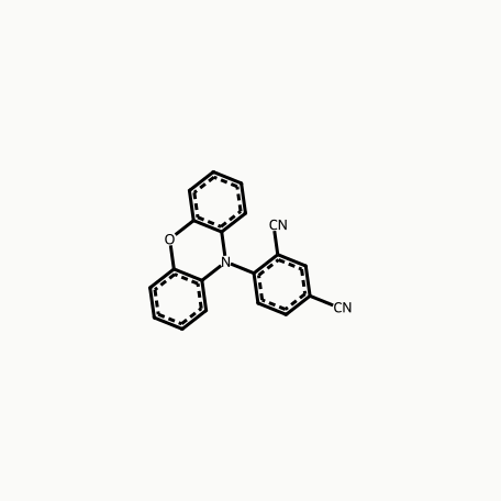 N#Cc1ccc(N2c3ccccc3Oc3ccccc32)c(C#N)c1